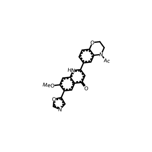 COc1cc2[nH]c(-c3ccc4c(c3)N(C(C)=O)CCO4)cc(=O)c2cc1-c1cnco1